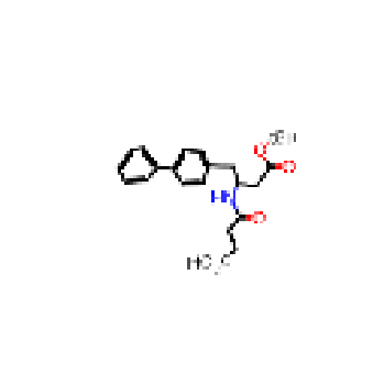 CC(C)(C)OC(=O)CC(Cc1ccc(-c2ccccc2)cc1)NC(=O)CCC(=O)O